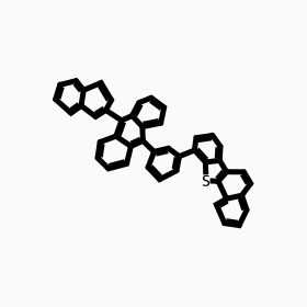 c1cc(-c2c3ccccc3c(-c3ccc4ccccc4c3)c3ccccc23)cc(-c2cccc3c2sc2c4ccccc4ccc32)c1